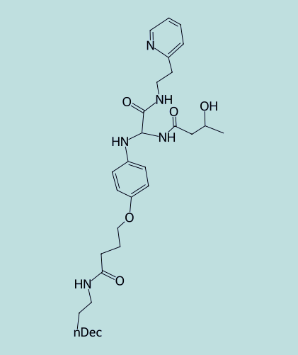 CCCCCCCCCCCCNC(=O)CCCOc1ccc(NC(NC(=O)CC(C)O)C(=O)NCCc2ccccn2)cc1